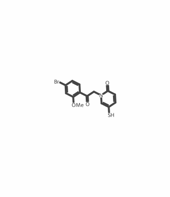 COc1cc(Br)ccc1C(=O)Cn1cc(S)ccc1=O